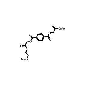 COCCOC(=O)COC(=O)c1ccc(C(=O)OCC(=O)OC)cc1